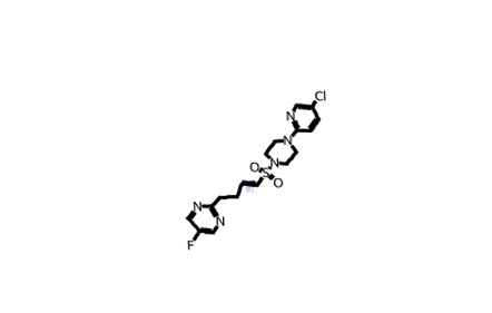 O=S(=O)(/C=C/CCc1ncc(F)cn1)N1CCN(c2ccc(Cl)cn2)CC1